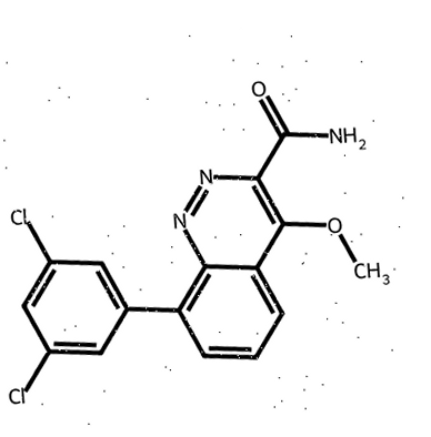 COc1c(C(N)=O)nnc2c(-c3cc(Cl)cc(Cl)c3)cccc12